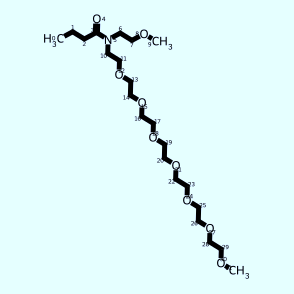 CCCC(=O)N(CCOC)CCOCCOCCOCCOCCOCCOCCOC